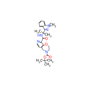 Cn1nc(C(C)(C)NC(=O)c2nccc3c2OCCN(C(=O)OC(C)(C)C)C3)c2ccccc21